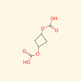 O=C(O)OC1CC(OC(=O)O)C1